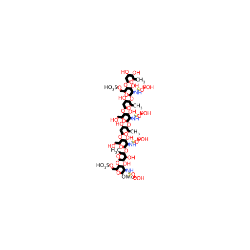 CO[C@@H]1OC(COS(=O)(=O)O)[C@@H](O[C@H]2C[C@H](O)[C@@H](O[C@@H]3OC(CO)[C@@H](O[C@H]4C[C@H](O)[C@@H](O[C@@H]5OC(CO)[C@@H](O[C@H]6C[C@H](O)[C@@H](O[C@@H]7OC(COS(=O)(=O)O)[C@@H](O[C@H]8C[C@H](O)[C@H](O)C(C)O8)[C@H](O)C7NSOOO)C(C)O6)[C@H](O)C5NSOOO)C(C)O4)[C@H](O)C3NSOOO)C(C)O2)[C@H](O)C1NSOOO